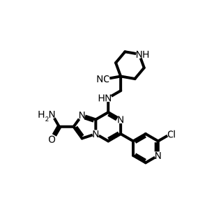 N#CC1(CNc2nc(-c3ccnc(Cl)c3)cn3cc(C(N)=O)nc23)CCNCC1